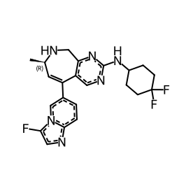 C[C@@H]1C=C(c2ccc3ncc(F)n3c2)c2cnc(NC3CCC(F)(F)CC3)nc2CN1